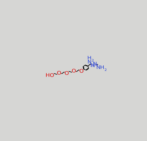 N/C=N\N=C(/N)c1ccc(OCCOCCOCCOCCO)cc1